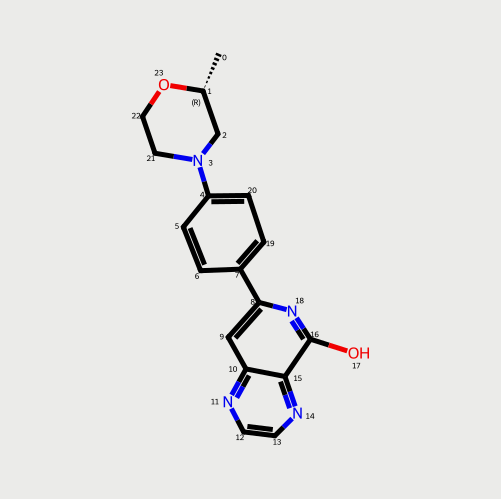 C[C@@H]1CN(c2ccc(-c3cc4nccnc4c(O)n3)cc2)CCO1